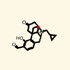 O=Cc1ccc2c(c1O)C13CCN(CC4CC4)C(C2)C1(O)CCC(=O)C3